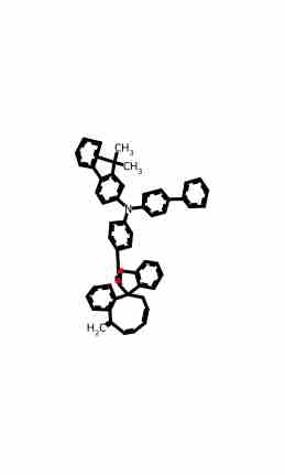 C=C1/C=C\C=C/CC2(c3ccccc31)c1ccccc1-c1c(-c3ccc(N(c4ccc(-c5ccccc5)cc4)c4ccc5c(c4)C(C)(C)c4ccccc4-5)cc3)cccc12